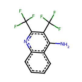 Nc1c(C(F)(F)F)c(C(F)(F)F)nc2ccccc12